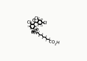 O=C(O)CCCCCCCNS(=O)(=O)c1ccc(Cl)c(C(=O)c2ccc(Cl)cc2Cl)c1